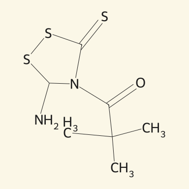 CC(C)(C)C(=O)N1C(=S)SSC1N